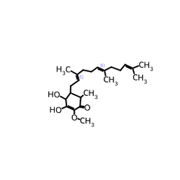 COC1=C(O)C(O)C(C/C=C(\C)CC/C=C(\C)CCC=C(C)C)C(C)C1=O